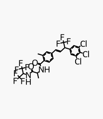 Cc1cc(/C=C/C(c2cc(Cl)c(Cl)c(Cl)c2)C(F)(F)F)ccc1C(=O)NC(C)C(=O)NC(C(F)(F)F)C(F)(F)F